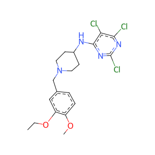 CCOc1cc(CN2CCC(Nc3nc(Cl)nc(Cl)c3Cl)CC2)ccc1OC